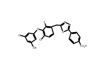 N#Cc1cc(Cl)cc(Oc2c(Cl)ccc(Cc3nnc(-c4ccc(C(=O)O)cc4)o3)c2F)c1